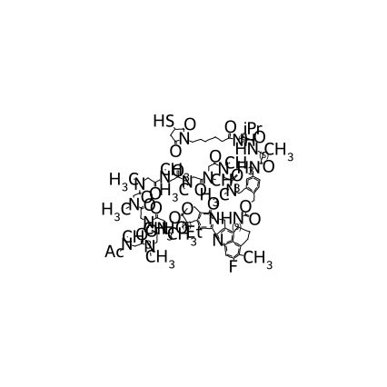 CC[C@@]1(O)C(=O)OCc2c1cc1n(c2=O)Cc2c-1nc1cc(F)c(C)c3c1c2[C@@H](NC(=O)OCc1ccc(NC(=O)[C@H](C)NC(=O)[C@@H](NC(=O)CCCCCN2C(=O)CC(S)C2=O)C(C)C)cc1CN(C)C(=O)CN(C)C(=O)CN(C)C(=O)CN(C)C(=O)CN(C)C(=O)CN(C)C(=O)CN(C)C(=O)CN(C)C(=O)CN(C)C(=O)CN(C)C(=O)CN(C)C(C)=O)CC3